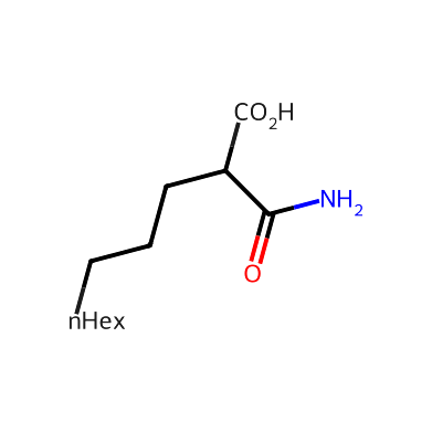 CCCCCCCCCC(C(N)=O)C(=O)O